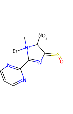 CC[N+]1(C)C(c2ncccn2)=NC(=S=O)C1[N+](=O)[O-]